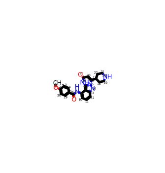 COc1ccc(C(=O)Nc2cccc3nn4c(C5CCNCC5)cc(=O)[nH]c4c23)cc1